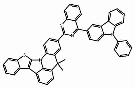 CC1(C)c2cc(-c3nc(-c4ccc5c(c4)c4ccccc4n5-c4ccccc4)c4ccccc4n3)ccc2-n2c3sc4ccccc4c3c3cccc1c32